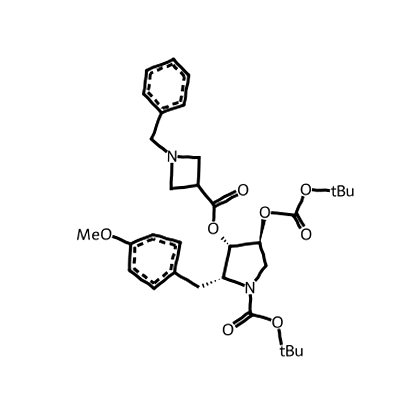 COc1ccc(C[C@@H]2[C@H](OC(=O)C3CN(Cc4ccccc4)C3)[C@@H](OC(=O)OC(C)(C)C)CN2C(=O)OC(C)(C)C)cc1